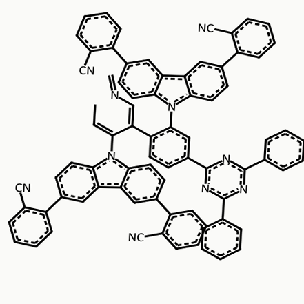 C=N/C=C(\C(=C/C)n1c2ccc(-c3ccccc3C#N)cc2c2cc(-c3ccccc3C#N)ccc21)c1ccc(-c2nc(-c3ccccc3)nc(-c3ccccc3)n2)cc1-n1c2ccc(-c3ccccc3C#N)cc2c2cc(-c3ccccc3C#N)ccc21